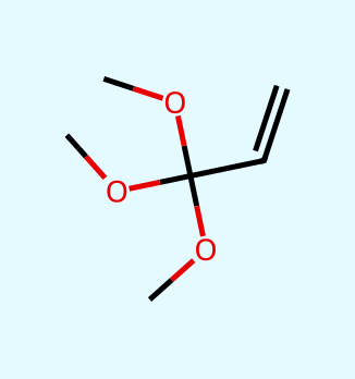 C=CC(OC)(OC)OC